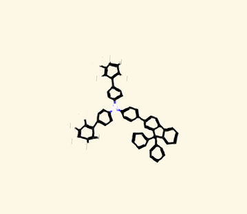 [2H]c1c([2H])c([2H])c(-c2ccc(N(c3ccc(-c4ccc5c(c4)C(c4ccccc4)(c4ccccc4)c4ccccc4-5)cc3)c3ccc(-c4c([2H])c([2H])c([2H])c([2H])c4[2H])cc3)cc2)c([2H])c1[2H]